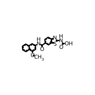 COc1cc(NC(=O)c2ccc3nc(NC(=O)O)sc3c2)cc2ccccc12